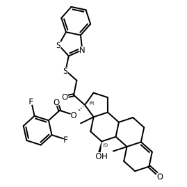 CC12CCC(=O)C=C1CCC1C2[C@@H](O)CC2(C)C1CC[C@]2(OC(=O)c1c(F)cccc1F)C(=O)CSc1nc2ccccc2s1